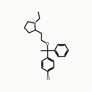 CCN1CCCC1CCOC(C)(c1ccccc1)c1ccc(Cl)cc1